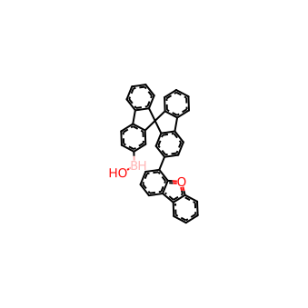 OBc1ccc2c(c1)C1(c3ccccc3-2)c2ccccc2-c2ccc(-c3cccc4c3oc3ccccc34)cc21